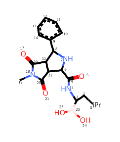 CC(C)CC(NC(=O)C1NC(c2ccccc2)C2C(=O)N(C)C(=O)C12)B(O)O